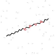 CCCCCCCCCCOCCOCCOCCOCCCC